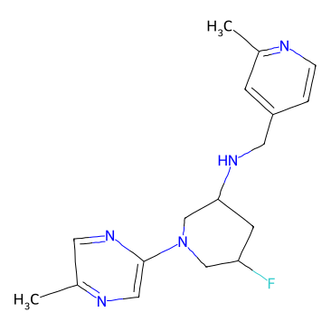 Cc1cnc(N2CC(F)CC(NCc3ccnc(C)c3)C2)cn1